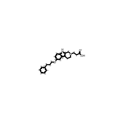 O=C(O)CCN1CCc2c([nH]c3ccc(OCCCc4ccccc4)cc23)C1